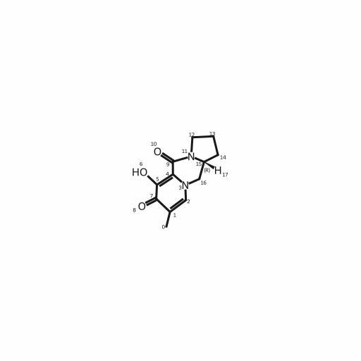 Cc1cn2c(c(O)c1=O)C(=O)N1CCC[C@@H]1C2